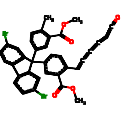 COC(=O)c1cc(C2(c3ccc(C=C=C=C=C=C=O)c(C(=O)OC)c3)c3cc(Br)ccc3-c3ccc(Br)cc32)ccc1C